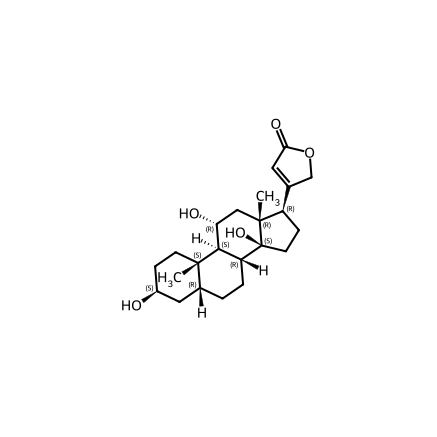 C[C@]12CC[C@H](O)C[C@H]1CC[C@@H]1[C@@H]2[C@H](O)C[C@]2(C)[C@@H](C3=CC(=O)OC3)CC[C@]12O